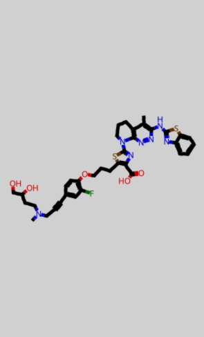 Cc1c(Nc2nc3ccccc3s2)nnc2c1CCCN2c1nc(C(=O)O)c(CCCOc2ccc(C#CCN(C)CCC(O)CO)cc2F)s1